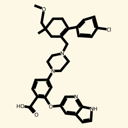 COCC1(C)CCC(c2ccc(Cl)cc2)=C(CN2CCN(c3ccc(C(=O)O)c(Oc4cnc5[nH]ccc5c4)c3)CC2)C1